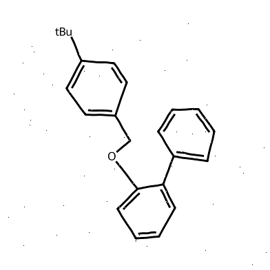 CC(C)(C)c1ccc(COc2c[c]ccc2-c2ccccc2)cc1